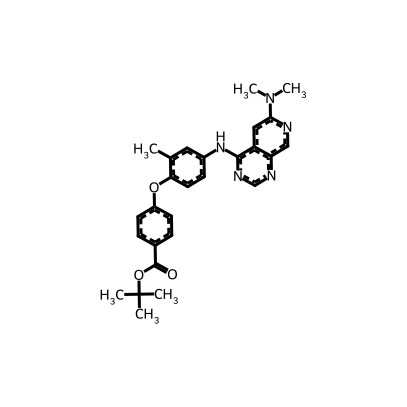 Cc1cc(Nc2ncnc3cnc(N(C)C)cc23)ccc1Oc1ccc(C(=O)OC(C)(C)C)cc1